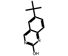 CC(C)(C)c1ccc2nc(O)ncc2c1